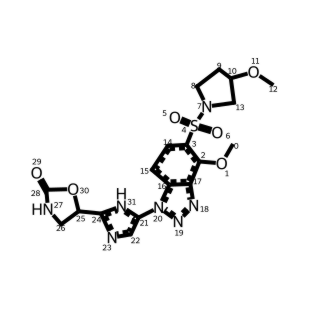 COc1c(S(=O)(=O)N2CCC(OC)C2)ccc2c1nnn2-c1cnc(C2CNC(=O)O2)[nH]1